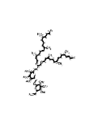 CC(=O)OC[C@H]1O[C@@H](OC[C@H]2O[C@H](OC[C@H](COCC[C@@H](C)CCC[C@@H](C)CCC[C@H](C)CCCC(C)C)OCC[C@@H](C)CCC[C@@H](C)CCC[C@H](C)CCCC(C)C)[C@H](OC(C)=O)[C@@H](OC(C)=O)[C@@H]2OC(C)=O)[C@H](OC(C)=O)[C@@H](OC(C)=O)[C@@H]1OC(C)=O